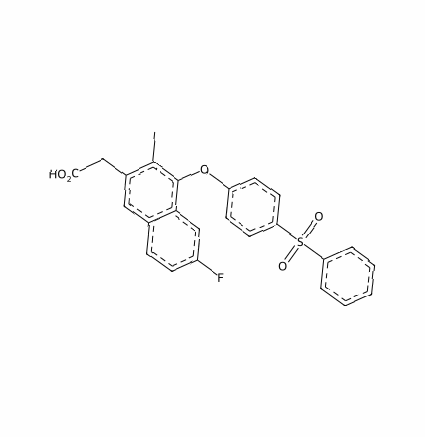 Cc1c(CC(=O)O)cc2ccc(F)cc2c1Oc1ccc(S(=O)(=O)c2ccccc2)cc1